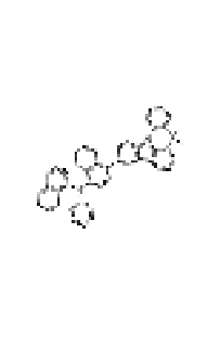 CC1(C)c2ccccc2-n2c3ccc(-c4ccc(N(c5ccncc5)c5nccc6ccccc56)c5c4C=CCC5)cc3c3cccc1c32